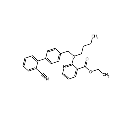 CCCCN(Cc1ccc(-c2ccccc2C#N)cc1)c1ncccc1C(=O)OCC